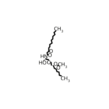 CCCCCCCCCCCC(=O)CC(=O)N[C@@H](CO)COCC[C@@H](CCCCCCC)OC(C)=O